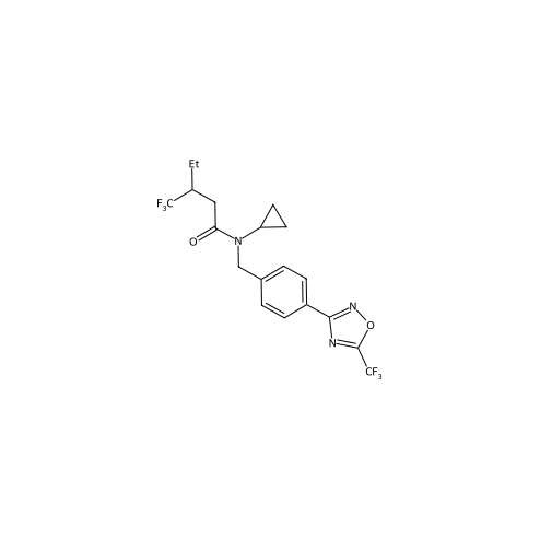 CCC(CC(=O)N(Cc1ccc(-c2noc(C(F)(F)F)n2)cc1)C1CC1)C(F)(F)F